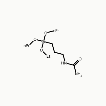 CCCO[Si](CCCNC(N)=O)(OCC)OCCC